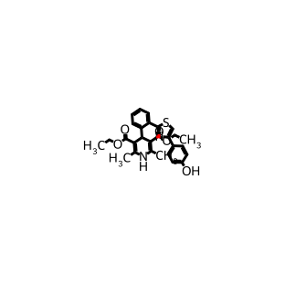 CCOC(=O)C1=C(C)NC(C)=C(C(=O)OCC)C1c1ccccc1-c1nc(-c2ccc(O)cc2)cs1